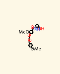 COc1ccc(COCCOc2ccc(C(=O)N[C@@H]3CCC[C@H]3O)cc2OC)cc1